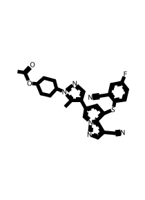 CC(=O)OC1CCC(n2ncc(-c3cc(Sc4ccc(F)cc4C#N)c4c(C#N)cnn4c3)c2C)CC1